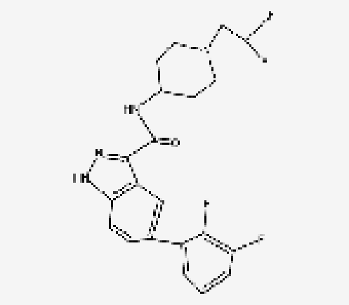 O=C(NC1CCN(CC(F)F)CC1)c1n[nH]c2ccc(-c3cccc(F)c3F)cc12